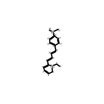 CCN1CC=CC=C1C=CC=Cc1ccc(N(C)C)cc1